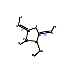 C/C=C1\C/C(=C\C)N(C)C1CC